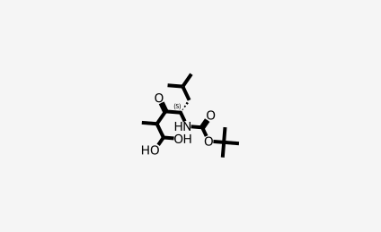 C[C]([C](O)O)C(=O)[C@H](CC(C)C)NC(=O)OC(C)(C)C